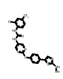 CCCNc1ncc(-c2ccc(Oc3ncc(NC(=O)Nc4ccc(C(F)(F)F)cc4Cl)cn3)cc2)s1